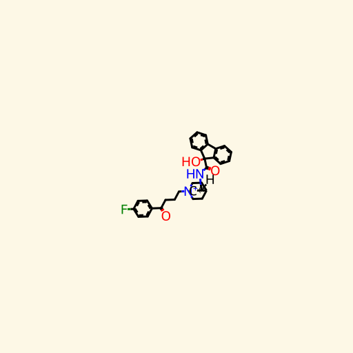 O=C(CCC[N+]12CCC(CC1)[C@@H](NC(=O)C1(O)c3ccccc3-c3ccccc31)C2)c1ccc(F)cc1